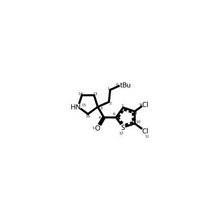 CC(C)(C)CCC1(C(=O)c2cc(Cl)c(Cl)s2)CCNC1